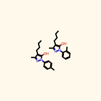 CCCCc1c(C)nn(-c2ccc(C)cc2)c1O.CCCCc1c(C)nn(-c2ccccc2C)c1O